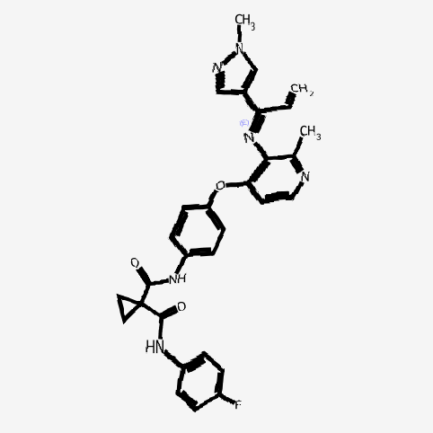 C=C/C(=N\c1c(Oc2ccc(NC(=O)C3(C(=O)Nc4ccc(F)cc4)CC3)cc2)ccnc1C)c1cnn(C)c1